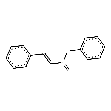 O=[PH](C=Cc1ccccc1)Oc1ccccc1